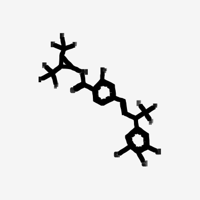 O=C(NC1C(C(F)(F)F)C1C(F)(F)F)c1ccc(/C=C/C(c2cc(Cl)c(Cl)c(Cl)c2)C(F)(F)F)cc1Br